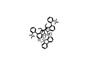 CCC(C)C1=Cc2c(-c3ccccc3[Si](C)(C)C)cccc2[CH]1[Hf]([Cl])([Cl])([c]1cccc2c1[SiH2]c1ccccc1-2)[CH]1C(C(C)CC)=Cc2c(-c3ccccc3[Si](C)(C)C)cccc21